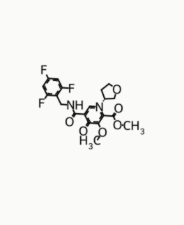 COC(=O)c1c(OC)c(=O)c(C(=O)NCc2c(F)cc(F)cc2F)cn1[C@@H]1CCOC1